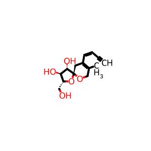 C#C/C=C\C1=C(C)CO[C@]2(C1)O[C@H](CO)[C@@H](O)[C@@H]2O